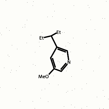 CCC(CC)c1cncc(OC)c1